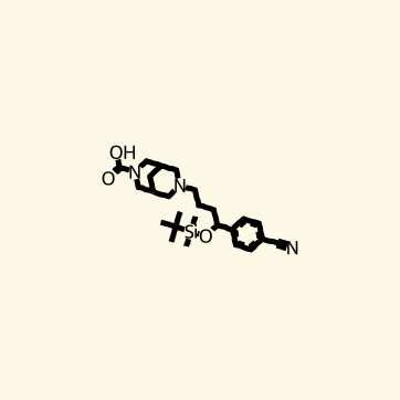 CC(C)(C)[Si](C)(C)OC(CCCN1CC2CC(C1)CN(C(=O)O)C2)c1ccc(C#N)cc1